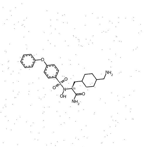 NCC1CCC(C[C@@H](C(N)=O)N(O)S(=O)(=O)c2ccc(Oc3ccccc3)cc2)CC1